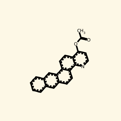 CC(=O)Oc1ccnc2c1ccc1c3cc4ccccc4cc3ccc12